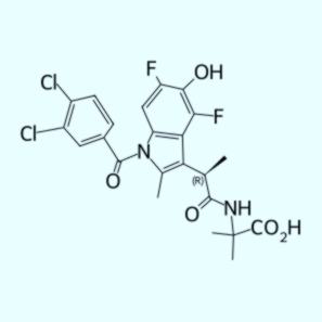 Cc1c([C@@H](C)C(=O)NC(C)(C)C(=O)O)c2c(F)c(O)c(F)cc2n1C(=O)c1ccc(Cl)c(Cl)c1